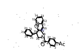 CC(=O)c1ccc(C(=O)N2C/C(=C/c3ccccn3)C(=O)C(c3ccccc3)C2)cc1